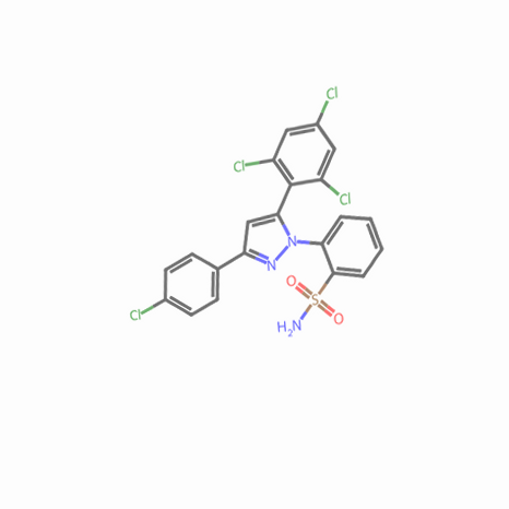 NS(=O)(=O)c1ccccc1-n1nc(-c2ccc(Cl)cc2)cc1-c1c(Cl)cc(Cl)cc1Cl